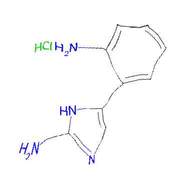 Cl.Nc1ncc(-c2ccccc2N)[nH]1